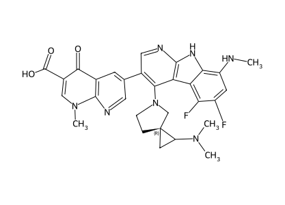 CNc1cc(F)c(F)c2c1[nH]c1ncc(-c3cnc4c(c3)c(=O)c(C(=O)O)cn4C)c(N3CC[C@@]4(CC4N(C)C)C3)c12